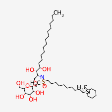 CCCCCCCCCCCCCC[C@@H](O)[C@@H](O)[C@H](COC1OC(CO)C(O)C(O)C1O)N=S(C)(=O)CCCCCCCCCC[Si]1(C)CCCCC1